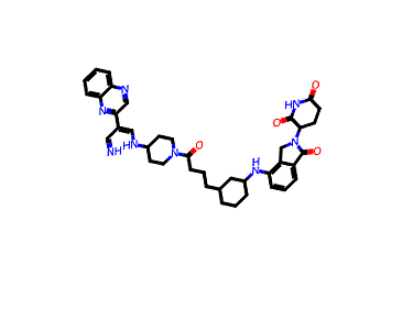 N=C/C(=C\NC1CCN(C(=O)CCCC2CCCC(Nc3cccc4c3CN(C3CCC(=O)NC3=O)C4=O)C2)CC1)c1cnc2ccccc2n1